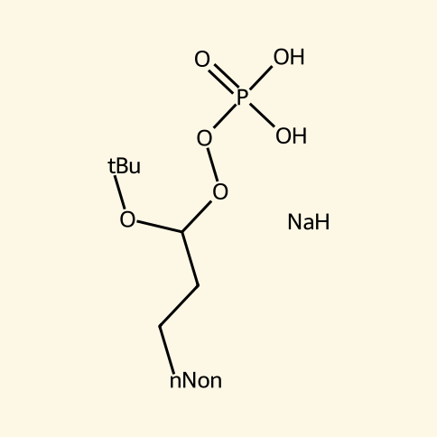 CCCCCCCCCCCC(OOP(=O)(O)O)OC(C)(C)C.[NaH]